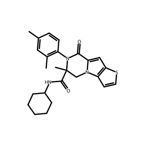 Cc1ccc(N2C(=O)c3cc4sccc4n3CC2(C)C(=O)NC2CCCCC2)c(C)c1